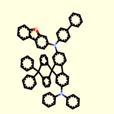 c1ccc(-c2ccc(N(c3ccc4c(c3)C3(c5cc(N(c6ccccc6)c6ccccc6)ccc5-4)c4ccccc4C(c4ccccc4)(c4ccccc4)c4ccccc43)c3ccc4c(c3)oc3ccccc34)cc2)cc1